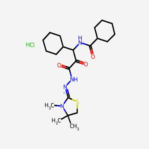 CN1/C(=N/NC(=O)C(=O)C(NC(=O)C2CCCCC2)C2CCCCC2)SCC1(C)C.Cl